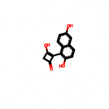 O=C1CC(O)=C1c1c(O)ccc2cc(O)ccc12